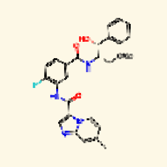 COC[C@H](NC(=O)c1ccc(F)c(NC(=O)c2cnc3cc(C)ccn23)c1)[C@H](O)c1ccccc1